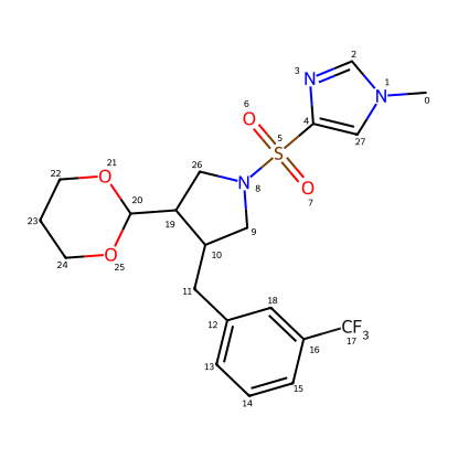 Cn1cnc(S(=O)(=O)N2CC(Cc3cccc(C(F)(F)F)c3)C(C3OCCCO3)C2)c1